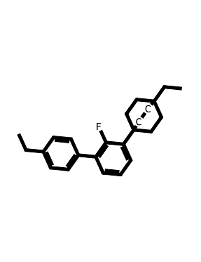 CCc1ccc(-c2cccc(C34CCC(CC)(CC3)CC4)c2F)cc1